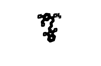 CC(CCCCN1C(=O)c2ccccc2C1=O)c1ccc(Cl)c(C=O)c1